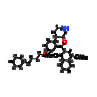 COc1cc(COC2CNCCC2c2ccc(OCCC=Cc3ccccc3)cc2)c(OC)c2ccccc12